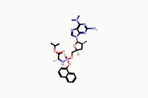 CC(C)OC(=O)[C@@H](C)N[P@@](=S)(OC[C@]1(F)C[C@H](C)[C@H](n2cnc3c(N(C)C)nc(N)nc32)O1)Oc1cccc2ccccc12